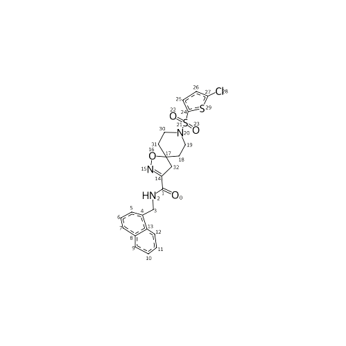 O=C(NCc1cccc2ccccc12)C1=NOC2(CCN(S(=O)(=O)c3ccc(Cl)s3)CC2)C1